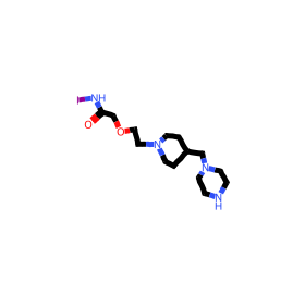 O=C(COCCN1CCC(CN2CCNCC2)CC1)NI